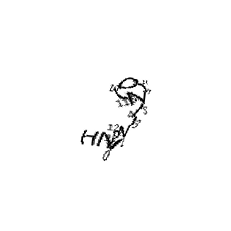 C1=CN(CCCN2CCOCC2)CN1